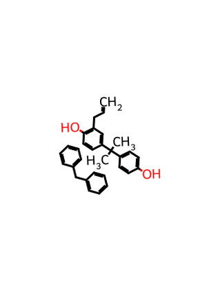 C=CCc1cc(C(C)(C)c2ccc(O)cc2)ccc1O.c1ccc(Cc2ccccc2)cc1